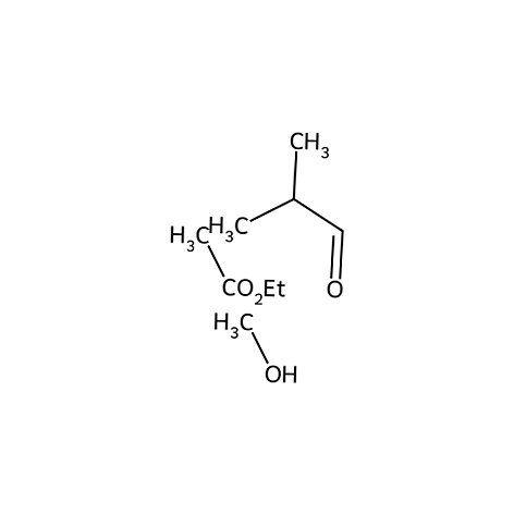 CC(C)C=O.CCOC(C)=O.CO